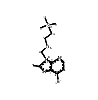 Cc1nc2c(Br)ccnc2n1COCC[Si](C)(C)C